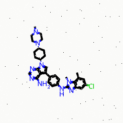 Cc1cc(Cl)cc2nc(Nc3ccc(-c4cn([C@H]5CC[C@@H](N6CCN(C)CC6)CC5)c5ncnc(N)c45)cc3)n(C)c12